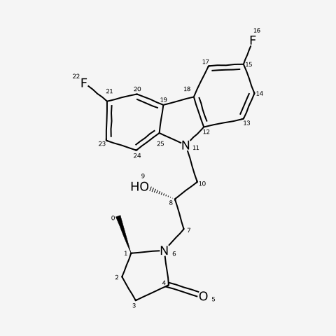 C[C@@H]1CCC(=O)N1C[C@H](O)Cn1c2ccc(F)cc2c2cc(F)ccc21